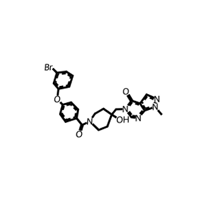 Cn1ncc2c(=O)n(CC3(O)CCN(C(=O)c4ccc(Oc5cccc(Br)c5)cc4)CC3)cnc21